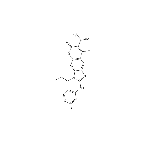 CCCn1c(Nc2cccc(I)c2)nc2cc3c(C)c(C(N)=O)c(=O)oc3cc21